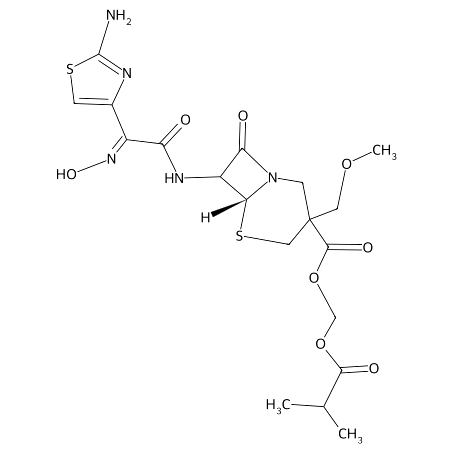 COCC1(C(=O)OCOC(=O)C(C)C)CS[C@@H]2C(NC(=O)C(=NO)c3csc(N)n3)C(=O)N2C1